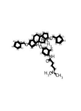 CN(C)CCCC(=O)Nc1ccc(O[C@H]2C[C@]3(C)[C@@H](OCc4ccccc4)CC[C@H]3[C@@H]3CCc4cc(OCc5ccccc5)ccc4[C@H]32)cc1F